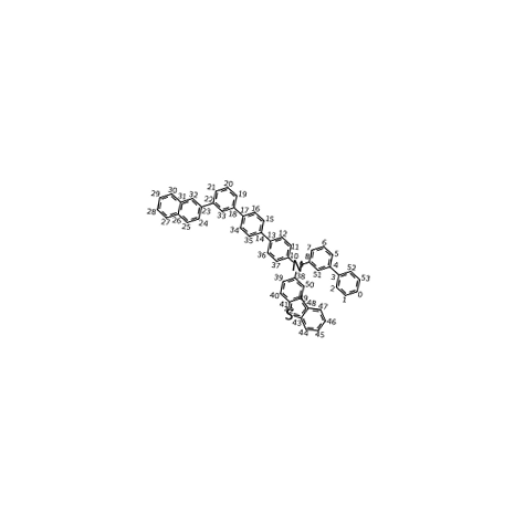 c1ccc(-c2cccc(N(c3ccc(-c4ccc(-c5cccc(-c6ccc7ccccc7c6)c5)cc4)cc3)c3ccc4sc5ccccc5c4c3)c2)cc1